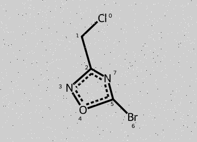 ClCc1noc(Br)n1